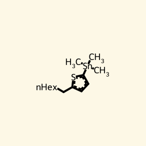 CCCCCCCc1cc[c]([Sn]([CH3])([CH3])[CH3])s1